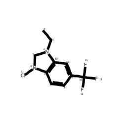 CCN1CN(Cl)c2ccc(C(F)(F)F)cc21